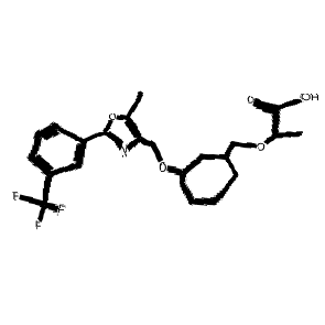 Cc1oc(-c2cccc(C(F)(F)F)c2)nc1COC1CCCC(COC(C)C(=O)O)C1